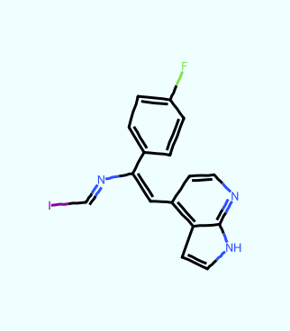 Fc1ccc(C(=C\c2ccnc3[nH]ccc23)/N=C/I)cc1